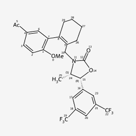 COc1ccc(C(C)=O)cc1C1=C(CN2C(=O)O[C@H](c3cc(C(F)(F)F)cc(C(F)(F)F)c3)[C@@H]2C)CCCC1